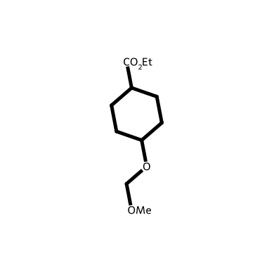 CCOC(=O)C1CCC(OCOC)CC1